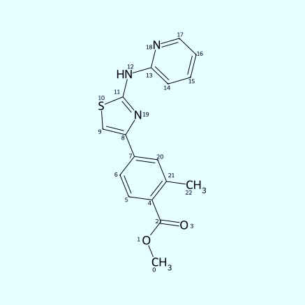 COC(=O)c1ccc(-c2csc(Nc3ccccn3)n2)cc1C